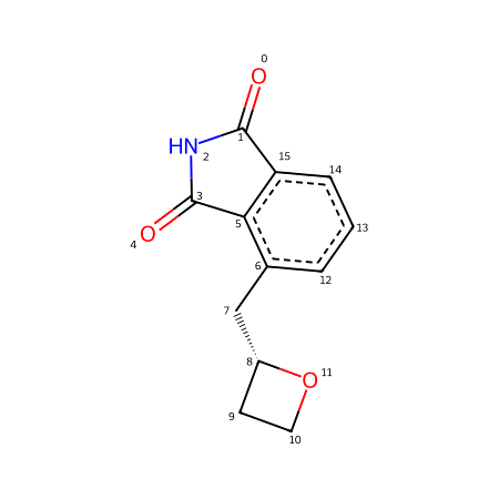 O=C1NC(=O)c2c(C[C@H]3CCO3)cccc21